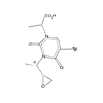 CC(C(=O)O)n1cc(Br)c(=O)n([C@@H](C)C2CO2)c1=O